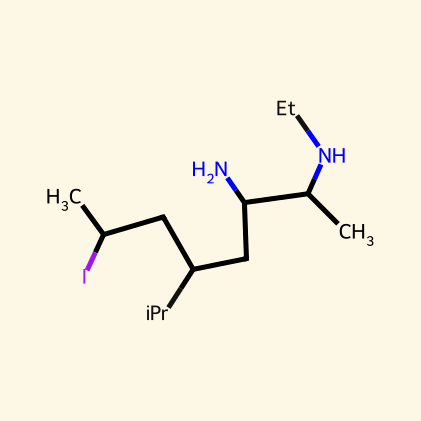 CCNC(C)C(N)CC(CC(C)I)C(C)C